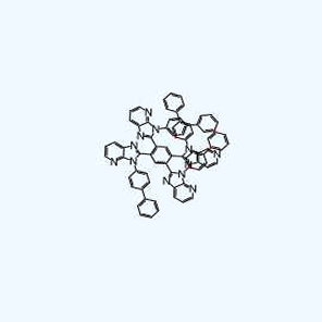 c1ccc(-c2ccc(-n3c(-c4cc(-c5nc6cccnc6n5-c5ccc(-c6ccccc6)cc5)c(-c5nc6cccnc6n5-c5ccc(-c6ccccc6)cc5)cc4-c4nc5cccnc5n4-c4ccc(-c5ccccc5)cc4)nc4ccncc43)cc2)cc1